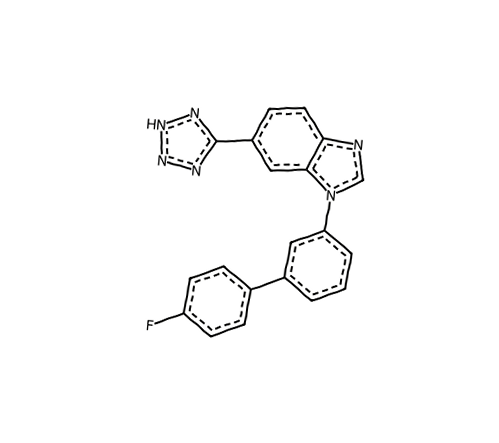 Fc1ccc(-c2cccc(-n3cnc4ccc(-c5nn[nH]n5)cc43)c2)cc1